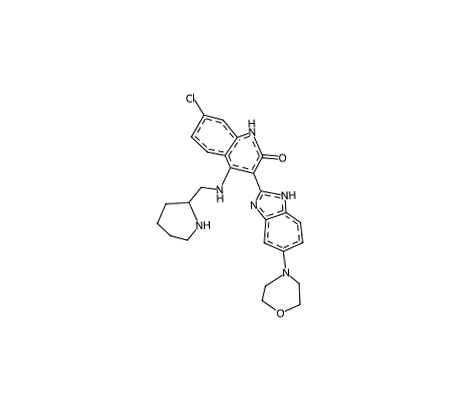 O=c1[nH]c2cc(Cl)ccc2c(NCC2CCCCN2)c1-c1nc2cc(N3CCOCC3)ccc2[nH]1